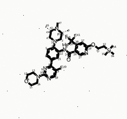 C[C@@H]1CN(c2ccc(-c3nc(N4CCOCC4)ncc3F)cc2NC(=O)c2cnc(OCC[Si](C)(C)C)cc2C(F)(F)F)C[C@H](C)N1C